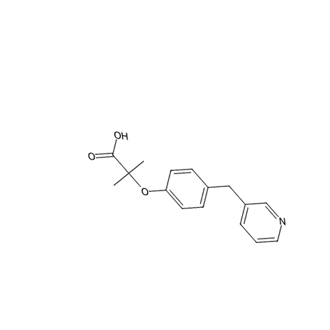 CC(C)(Oc1ccc(Cc2cccnc2)cc1)C(=O)O